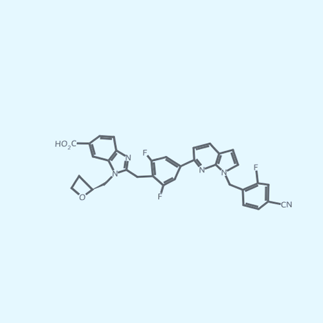 N#Cc1ccc(Cn2ccc3ccc(-c4cc(F)c(Cc5nc6ccc(C(=O)O)cc6n5C[C@@H]5CCO5)c(F)c4)nc32)c(F)c1